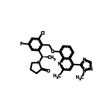 Cc1cc(-c2ncnn2C)c2cccc(OCc3c(Cl)cc(F)cc3[C@H](C)N3CCCC3=O)c2n1